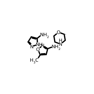 Cc1cc(N)no1.Nc1ccn[nH]1.[CH]1CNCCO1